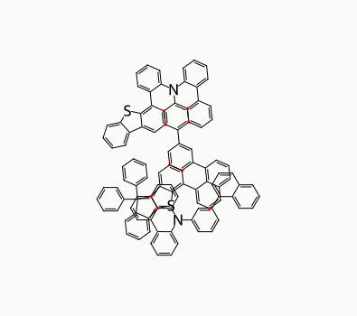 c1ccc(-c2ccccc2N(c2ccc(-c3cccc(-c4cccc5cccc(-c6cccc7c6sc6c(-c8ccccc8N(c8cccc(-c9cccc%10ccccc9%10)c8)c8cccc9c8-c8ccccc8C9(c8ccccc8)c8ccccc8)cccc67)c45)c3)cc2)c2ccccc2-c2cccc3c2sc2ccccc23)cc1